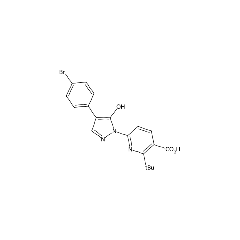 CC(C)(C)c1nc(-n2ncc(-c3ccc(Br)cc3)c2O)ccc1C(=O)O